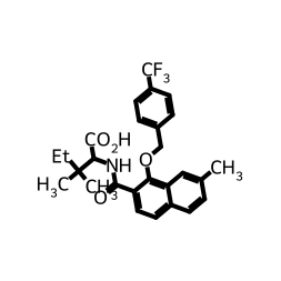 CCC(C)(C)C(NC(=O)c1ccc2ccc(C)cc2c1OCc1ccc(C(F)(F)F)cc1)C(=O)O